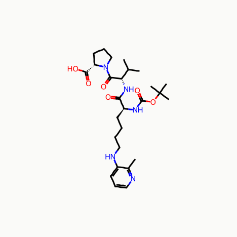 Cc1ncccc1NCCCC[C@H](NC(=O)OC(C)(C)C)C(=O)N[C@H](C(=O)N1CCC[C@H]1C(=O)O)C(C)C